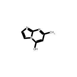 Cc1cc(O)n2ccnc2n1